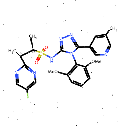 COc1cccc(OC)c1-n1c(NS(=O)(=O)[C@H](C)[C@@H](C)c2ncc(F)cn2)nnc1-c1cncc(C)c1